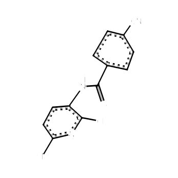 N#Cc1ccc(C(=O)Nc2ccc(Cl)nc2Cl)cc1